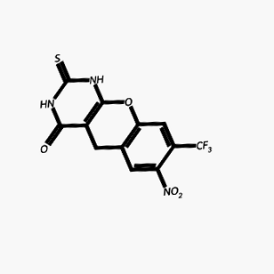 O=c1[nH]c(=S)[nH]c2c1Cc1cc([N+](=O)[O-])c(C(F)(F)F)cc1O2